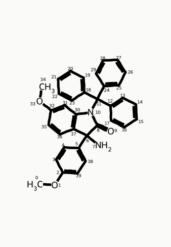 COc1ccc(C2(N)C(=O)N(C(c3ccccc3)(c3ccccc3)c3ccccc3)c3cc(OC)ccc32)cc1